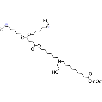 CC/C=C\CCCCOC(CCC(=O)OCCCCCCN(CCO)CCCCCCCCC(=O)OCCCCCCCC)OCCCC/C=C\CC